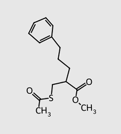 COC(=O)C(CCCc1ccccc1)CSC(C)=O